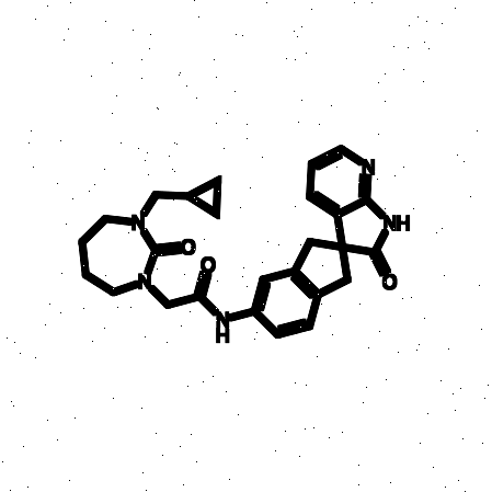 O=C(CN1CCCCN(CC2CC2)C1=O)Nc1ccc2c(c1)CC1(C2)C(=O)Nc2ncccc21